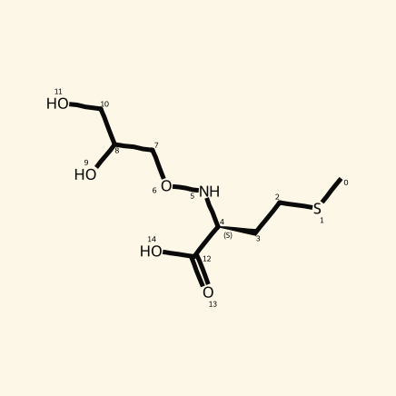 CSCC[C@H](NOCC(O)CO)C(=O)O